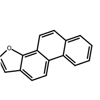 c1ccc2c(c1)ccc1c2ccc2ccoc21